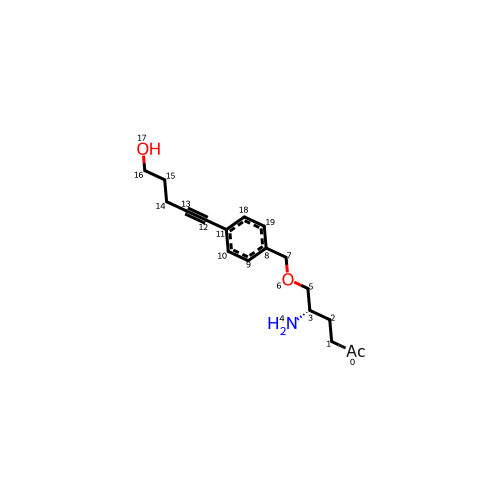 CC(=O)CC[C@H](N)COCc1ccc(C#CCCCO)cc1